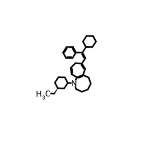 CC[C@H]1CCCC(N2CCCCCC3=C2C=CCC(/C=C(\c2ccccc2)C2CCCCC2)=C3)C1